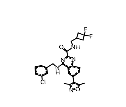 Cc1noc(C)c1-c1ccc2nc(C(=O)NCC3CC(F)(F)C3)nc(NCc3cccc(Cl)c3)c2c1